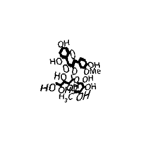 COc1cc(-c2oc3cc(O)cc(O)c3c(=O)c2OC[C@@H](OC2OC(C)C(O)C(O)C2O)C(O)C(O)C(O)CO)ccc1O